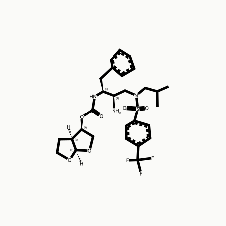 CC(C)CN(C[C@@H](N)[C@H](Cc1ccccc1)NC(=O)O[C@H]1CO[C@H]2OCC[C@H]21)S(=O)(=O)c1ccc(C(F)(F)F)cc1